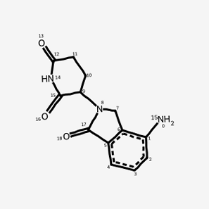 [15NH2]c1cccc2c1CN(C1CCC(=O)NC1=O)C2=O